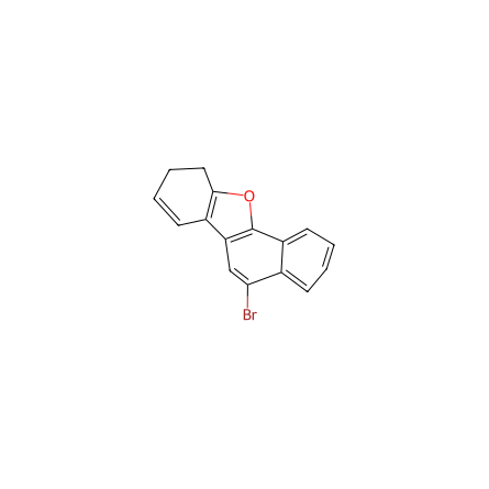 Brc1cc2c3c(oc2c2ccccc12)CCC=C3